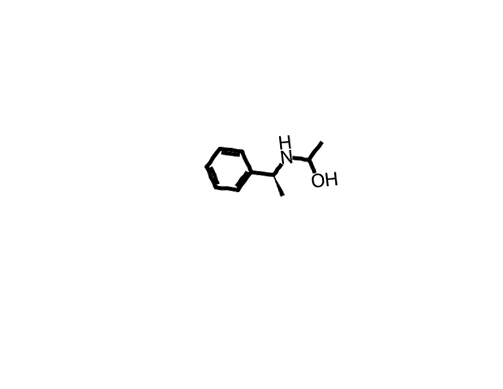 CC(O)N[C@@H](C)c1ccccc1